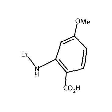 CCNc1cc(OC)ccc1C(=O)O